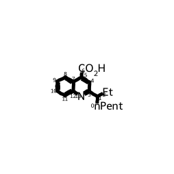 CCCCCC(CC)c1cc(C(=O)O)c2ccccc2n1